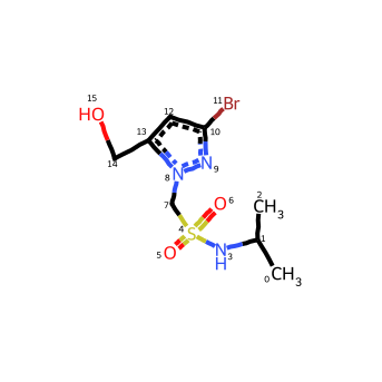 CC(C)NS(=O)(=O)Cn1nc(Br)cc1CO